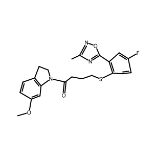 COc1ccc2c(c1)N(C(=O)CCCSc1ccc(F)cc1-c1nc(C)no1)CC2